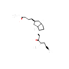 CC#CC[C@@H](C)C(=O)/C=C/[C@H]1CC[C@@H]2C/C(=C/CCC(=O)OC)C[C@@H]21